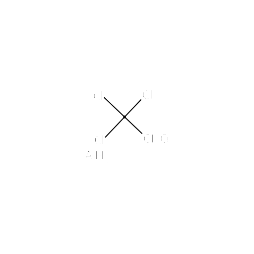 O=CC(Cl)(Cl)Cl.[AlH3]